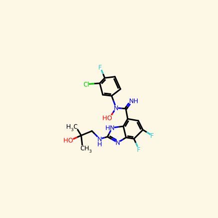 CC(C)(O)CNc1nc2c(F)c(F)cc(C(=N)N(O)c3ccc(F)c(Cl)c3)c2[nH]1